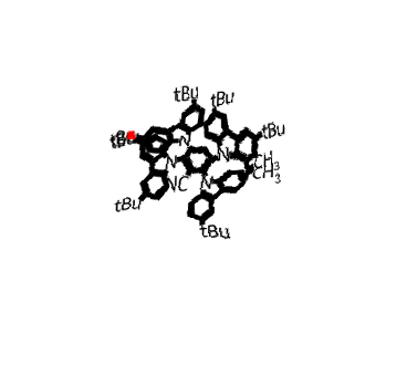 CC(C)(C)c1ccc2c(c1)c1cc(C(C)(C)C)ccc1n2-c1cc2c(c(C#N)c1-n1c3ccc(C(C)(C)C)cc3c3cc(C(C)(C)C)ccc31)-n1c3ccc(C(C)(C)C)cc3c3cc(ccc31)C(C)(C)c1cc(C(C)(C)C)cc3c4cc(C(C)(C)C)ccc4n-2c13